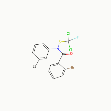 CCc1cccc(N(SC(F)(Cl)Cl)C(=O)c2ccccc2Br)c1